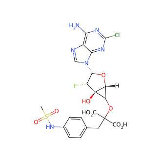 CS(=O)(=O)Nc1ccc(CC(OC2[C@H]3O[C@@H](n4cnc5c(N)nc(Cl)nc54)[C@@H](F)[C@@]23O)(C(=O)O)C(=O)O)cc1